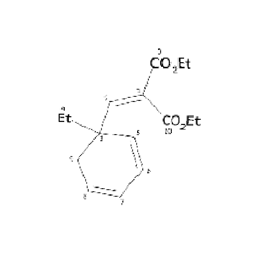 CCOC(=O)C(=CC1(CC)C=CC=CC1)C(=O)OCC